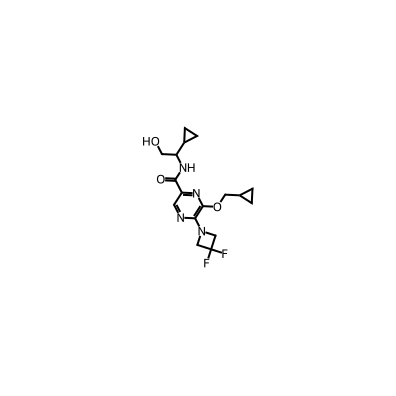 O=C(NC(CO)C1CC1)c1cnc(N2CC(F)(F)C2)c(OCC2CC2)n1